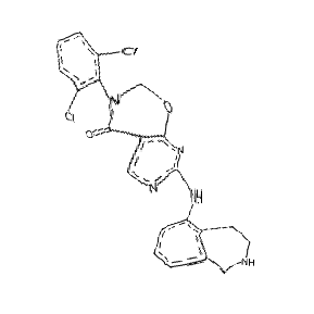 O=C1c2cnc(Nc3cccc4c3CCNC4)nc2OCN1c1c(Cl)cccc1Cl